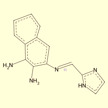 Nc1c(/N=C/c2ncc[nH]2)cc2ccccc2c1N